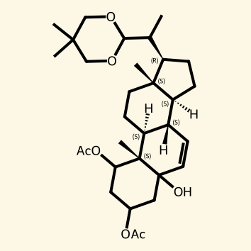 CC(=O)OC1CC(OC(C)=O)[C@]2(C)[C@H]3CC[C@]4(C)[C@@H](C(C)C5OCC(C)(C)CO5)CC[C@H]4[C@@H]3C=CC2(O)C1